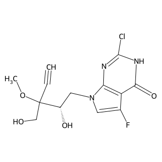 C#CC(CO)(OC)[C@@H](O)Cn1cc(F)c2c(=O)[nH]c(Cl)nc21